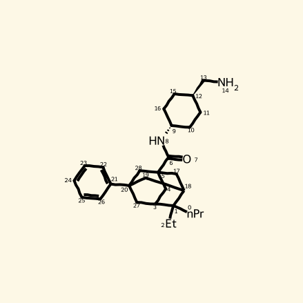 CCCC1(CC)C2CC3(C(=O)N[C@H]4CC[C@H](CN)CC4)CC1CC(c1ccccc1)(C2)C3